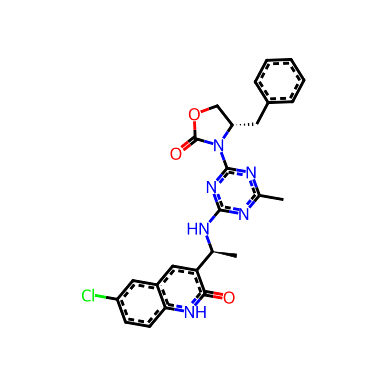 Cc1nc(N[C@@H](C)c2cc3cc(Cl)ccc3[nH]c2=O)nc(N2C(=O)OC[C@@H]2Cc2ccccc2)n1